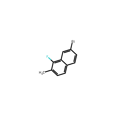 CCc1ccc2ccc(C)c(F)c2c1